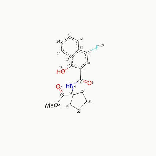 COC(=O)C1(NC(=O)c2cc(F)c3ccccc3c2O)CCCC1